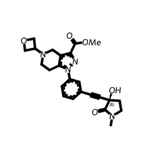 COC(=O)c1nn(-c2cccc(C#C[C@]3(O)CCN(C)C3=O)c2)c2c1CN(C1COC1)CC2